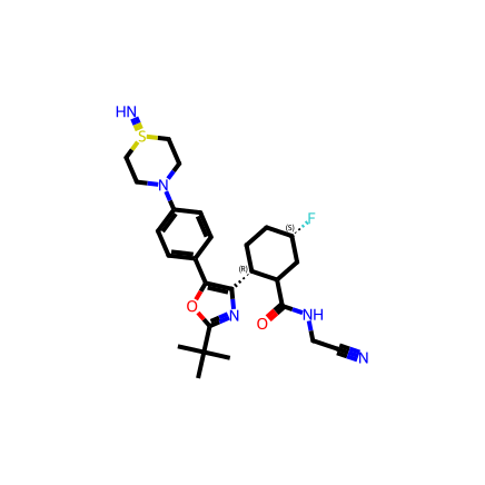 CC(C)(C)c1nc([C@@H]2CC[C@H](F)CC2C(=O)NCC#N)c(-c2ccc(N3CCS(=N)CC3)cc2)o1